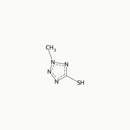 Cn1nnc(S)n1